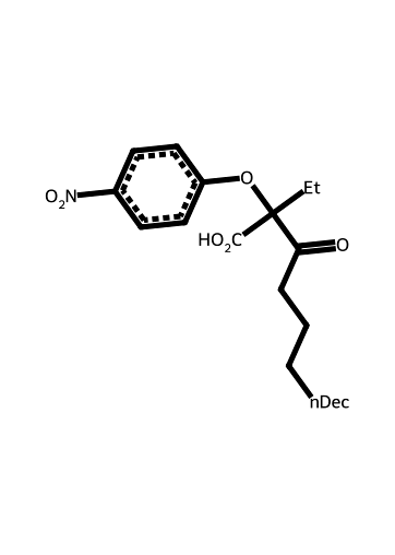 CCCCCCCCCCCCCC(=O)C(CC)(Oc1ccc([N+](=O)[O-])cc1)C(=O)O